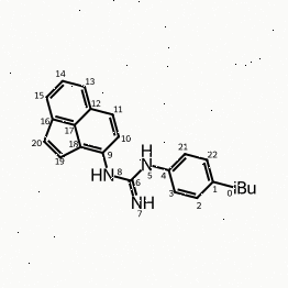 CCC(C)c1ccc(NC(=N)Nc2ccc3cccc4c3c2C=C4)cc1